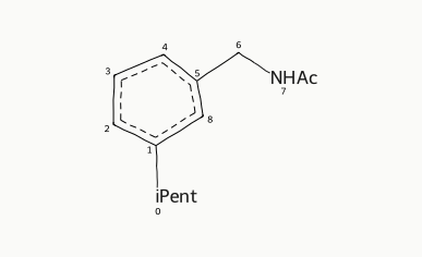 CCCC(C)c1cccc(CNC(C)=O)c1